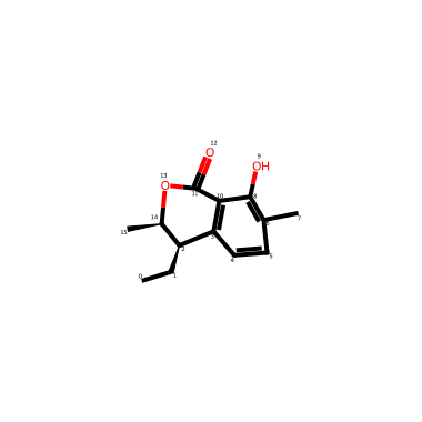 CC[C@@H]1c2ccc(C)c(O)c2C(=O)O[C@@H]1C